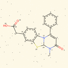 CN1C(=O)C=C(c2ccccc2)N2c3ccc(CC(=O)O)cc3SC12